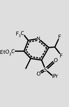 CCOC(=O)c1c(C(F)(F)F)nc(C(F)F)c(S(=O)(=O)C(C)C)c1C